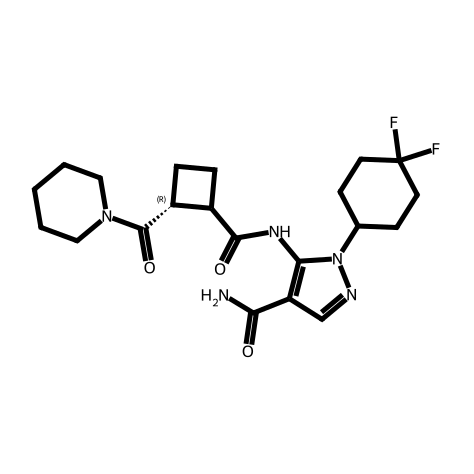 NC(=O)c1cnn(C2CCC(F)(F)CC2)c1NC(=O)C1CC[C@H]1C(=O)N1CCCCC1